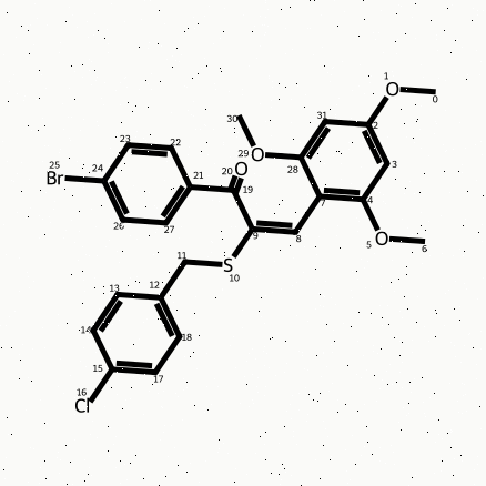 COc1cc(OC)c(/C=C(/SCc2ccc(Cl)cc2)C(=O)c2ccc(Br)cc2)c(OC)c1